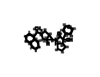 CC(c1cccc2ccccc12)N1CC2[C@@H](C1)[C@@H]2NC(=O)C(O)(c1ccccc1)C1CCCC1